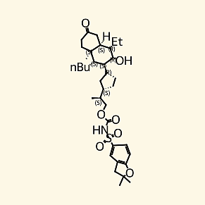 CCCC[C@H]1[C@H]([C@@H]2CC[C@H]([C@H](C)COC(=O)NS(=O)(=O)c3ccc4c(c3)CC(C)(C)O4)C2)[C@H](O)[C@H](CC)[C@@H]2CC(=O)CC[C@@]21C